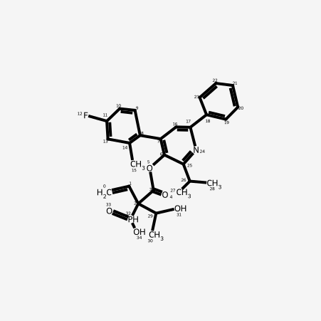 C=CC(C(=O)Oc1c(-c2ccc(F)cc2C)cc(-c2ccccc2)nc1C(C)C)(C(C)O)[PH](=O)O